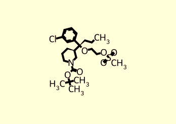 CCC[C@](OCCOS(C)(=O)=O)(c1cccc(Cl)c1)[C@@H]1CCCN(C(=O)OC(C)(C)C)C1